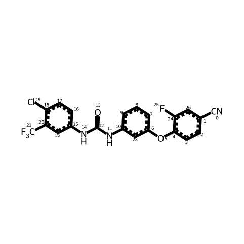 N#Cc1ccc(Oc2cccc(NC(=O)Nc3ccc(Cl)c(C(F)(F)F)c3)c2)c(F)c1